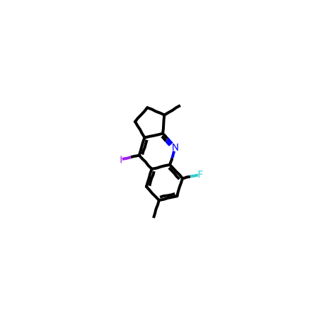 Cc1cc(F)c2nc3c(c(I)c2c1)CCC3C